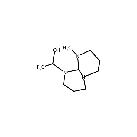 CN1CCCN2CCCN(C(O)C(F)(F)F)C12